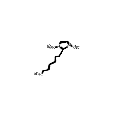 CCCCCCCCCCCCCCCCC1N(CCCCCCCCCC)C=CN1CCCCCCCCCC